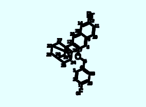 Fc1ccc(COc2cc3ccc(Br)cc3cc2C23CC4CC(CC(C4)C2)C3)cc1